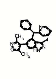 Cc1noc(C)c1-c1cc(C(c2ccccc2)c2ccccn2)c2c(I)n[nH]c2c1